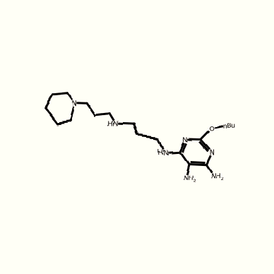 CCCCOc1nc(N)c(N)c(NCCCNCCCN2CCCCC2)n1